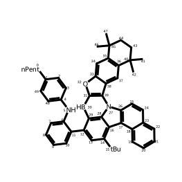 CCCCCc1ccc(Nc2ccccc2-c2cc(C(C)(C)C)c3c4c5ccccc5ccc4n4c3c2Bc2oc3cc5c(cc3c2-4)C(C)(C)CCC5(C)C)cc1